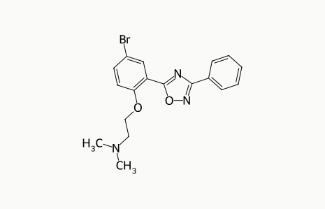 CN(C)CCOc1ccc(Br)cc1-c1nc(-c2ccccc2)no1